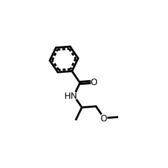 COCC(C)NC(=O)c1ccccc1